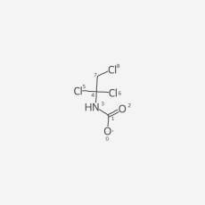 [O]C(=O)NC(Cl)(Cl)CCl